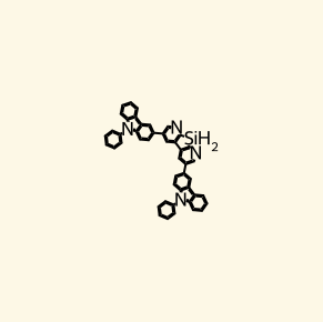 c1ccc(-n2c3ccccc3c3cc(-c4cnc5c(c4)-c4cc(-c6ccc7c(c6)c6ccccc6n7-c6ccccc6)cnc4[SiH2]5)ccc32)cc1